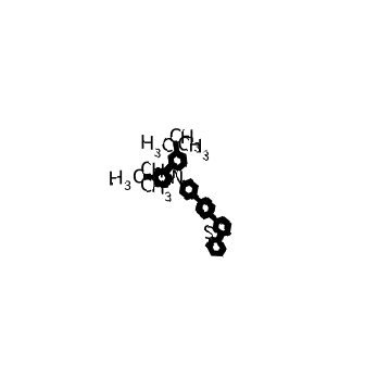 CC(C)(C)c1ccc2c(c1)c1cc(C(C)(C)C)ccc1n2-c1ccc(-c2ccc(-c3cccc4c3sc3ccccc34)cc2)cc1